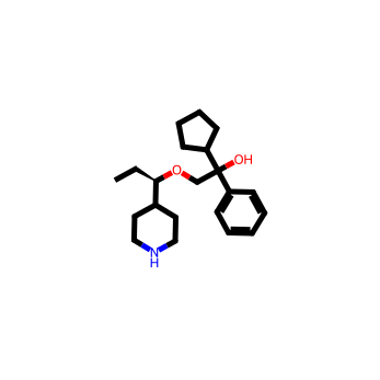 CC[C@@H](OCC(O)(c1ccccc1)C1CCCC1)C1CCNCC1